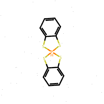 c1ccc2c(c1)S[PH]1(S2)Sc2ccccc2S1